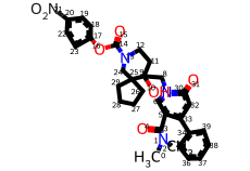 CN(C)C(=O)c1cn(CC2(O)CCN(C(=O)Oc3ccc([N+](=O)[O-])cc3)CC23CCCC3)c(=O)cc1-c1ccccc1